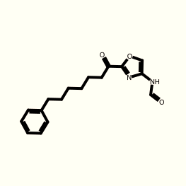 O=CNc1coc(C(=O)CCCCCCc2ccccc2)n1